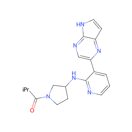 CC(C)C(=O)N1CCC(Nc2ncccc2-c2cnc3[nH]ccc3n2)C1